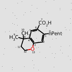 CCCCCc1cc2c(cc1C(=O)O)C(C)(C)CCO2